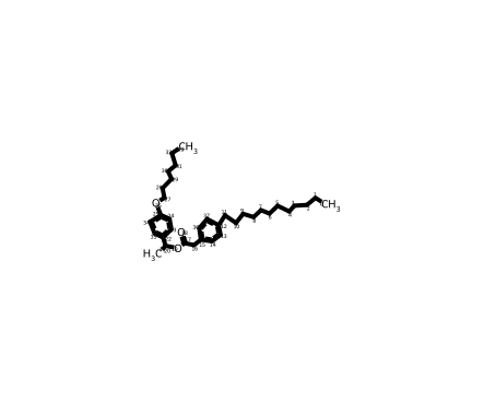 CCCCCCCCCCCCc1ccc(CC(=O)OC(C)c2ccc(OCCCCCCC)cc2)cc1